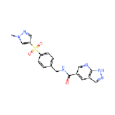 Cn1cc(S(=O)(=O)c2ccc(CNC(=O)c3cnc4[nH]ncc4c3)cc2)cn1